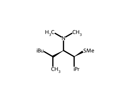 CCC(C)C(C)[C@H]([C@@H](SC)C(C)C)N(C)C